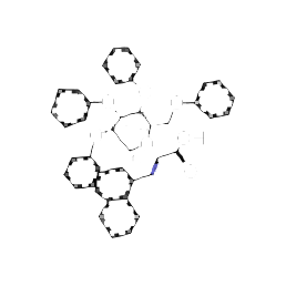 O=C(O)/C=C/c1c([C@H]2O[C@H](COc3ccccc3)[C@@H](Oc3ccccc3)[C@H](Oc3ccccc3)[C@@H]2Oc2ccccc2)ccc2ccccc12